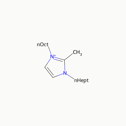 CCCCCCCC[n+]1ccn(CCCCCCC)c1C